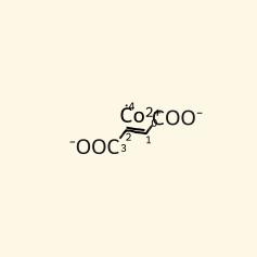 O=C([O-])C=CC(=O)[O-].[Co+2]